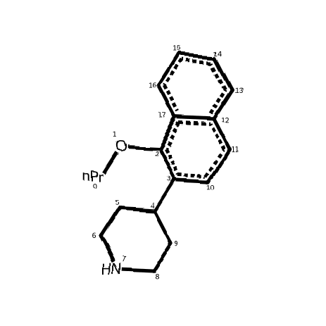 CCCOc1c(C2CCNCC2)ccc2ccccc12